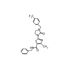 Cc1nc(N2CCN(Cc3ccc(C(F)(F)F)cc3)C2=O)sc1C(=O)NCc1ccccc1